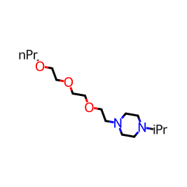 CCCOCCOCCOCCN1CCN(C(C)C)CC1